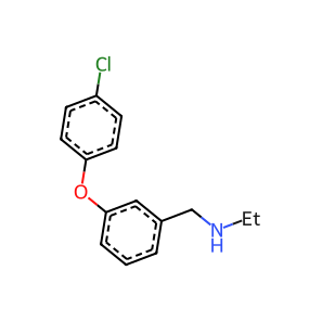 CCNCc1cccc(Oc2ccc(Cl)cc2)c1